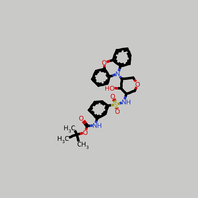 CC(C)(C)OC(=O)Nc1cccc(S(=O)(=O)NC2COCC(N3c4ccccc4Oc4ccccc43)C2O)c1